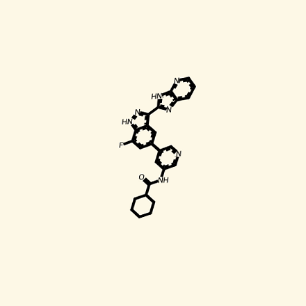 O=C(Nc1cncc(-c2cc(F)c3[nH]nc(-c4nc5cccnc5[nH]4)c3c2)c1)C1CCCCC1